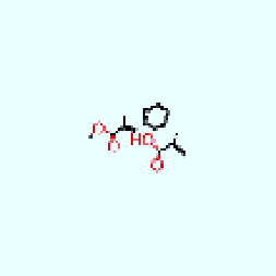 C=C(C)C(=O)O.C=C(C)C(=O)OC.c1ccccc1